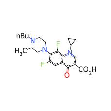 CCCCN1CCN(c2c(F)cc3c(=O)c(C(=O)O)cn(C4CC4)c3c2F)CC1C